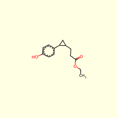 CCOC(=O)CCC1CC1c1ccc(O)cc1